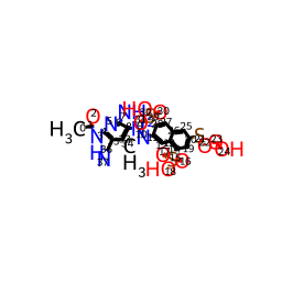 CC(=O)Nc1nc(N)c(/N=N/c2cc3c(S(=O)(=O)O)cc(SOOO)cc3cc2S(=O)(=O)O)c(C)c1C#N